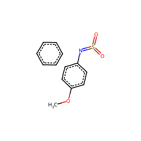 COc1ccc(N=S(=O)=O)cc1.c1ccccc1